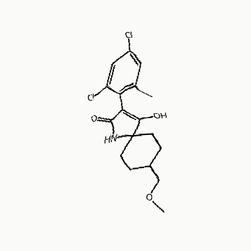 COCC1CCC2(CC1)NC(=O)C(c1c(C)cc(Cl)cc1Cl)=C2O